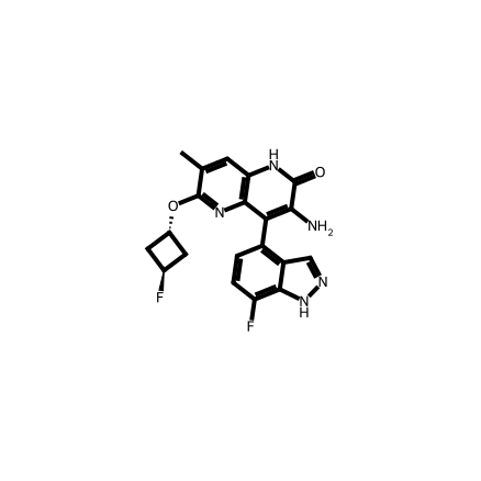 Cc1cc2[nH]c(=O)c(N)c(-c3ccc(F)c4[nH]ncc34)c2nc1O[C@H]1C[C@H](F)C1